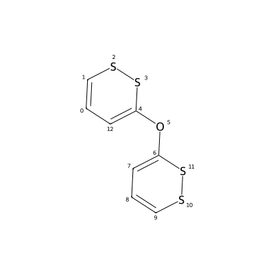 C1=CSSC(OC2=CC=CSS2)=C1